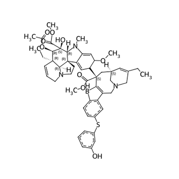 CCC1=C[C@H]2CN(C1)CC1=C(Bc3ccc(Sc4cccc(O)c4)cc31)[C@@](C(=O)OC)(C1C=C3C(=CC1OC)N(C)[C@H]1[C@@](O)(C(=O)OC)[C@H](OC(C)=O)[C@]4(CC)C=CCN5CC[C@]31[C@@H]54)C2